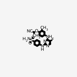 Cc1cc(Nc2nc(Nc3ccc(S(N)(=O)=O)cc3)ncc2F)ccc1OC(C)C#N